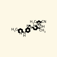 Cc1ccc(Nc2ccc3c(c2)ncn3-c2ccc(C(C)O)c(-n3nc(C#N)cc3C)n2)nc1